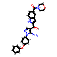 Nc1c(C(=O)c2cc3cc(C(=O)N4CCOCC4)ccc3[nH]2)cnn1-c1ccc(Oc2ccccc2)cc1